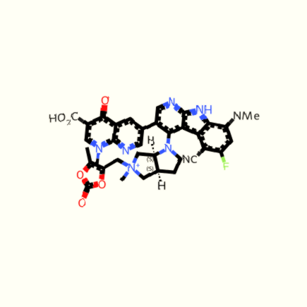 CNc1cc(F)c(C#N)c2c1[nH]c1ncc(-c3cnc4c(c3)c(=O)c(C(=O)O)cn4C)c(N3CC[C@H]4C[N+](C)(Cc5oc(=O)oc5C)C[C@H]43)c12